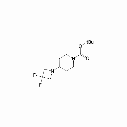 CC(C)(C)OC(=O)N1CCC(N2CC(F)(F)C2)CC1